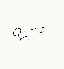 O=C1C(=O)N(CCCS(=O)(=O)O)c2ccccc21